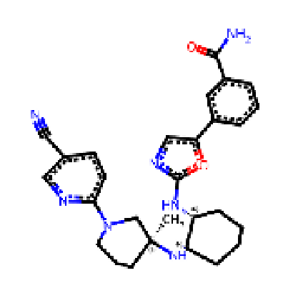 C[C@]1(N[C@@H]2CCCC[C@H]2Nc2ncc(-c3cccc(C(N)=O)c3)o2)CCCN(c2ccc(C#N)cn2)C1